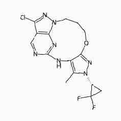 Cc1c2c(nn1[C@@H]1CC1(F)F)OCCCn1nc(Cl)c3cnc(nc31)N2